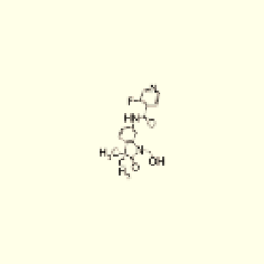 CC1(C)C(=O)N(CO)c2cc(NC(=O)c3ccncc3F)ccc21